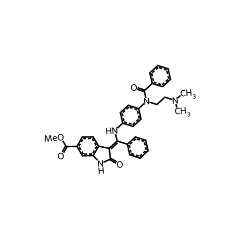 COC(=O)c1ccc2c(c1)NC(=O)C2=C(Nc1ccc(N(CCN(C)C)C(=O)c2ccccc2)cc1)c1ccccc1